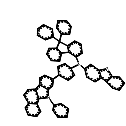 c1ccc(-n2c3cc(-c4ccc(N(c5ccc6c(c5)sc5ccccc56)c5cccc6c5-c5ccccc5C6(c5ccccc5)c5ccccc5)cc4)ccc3c3ccc4ccccc4c32)cc1